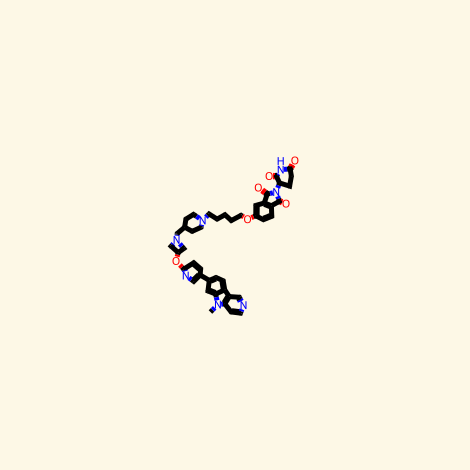 Cn1c2ccncc2c2ccc(-c3ccc(OC4CN(CC5CCN(CCCCCOc6ccc7c(c6)C(=O)N(C6CCC(=O)NC6=O)C7=O)CC5)C4)nc3)cc21